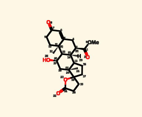 COC(=O)[C@@H]1CC2=CC(=O)CC[C@]2(C)C2[C@@H]1C1CCC3(CCC(=O)O3)[C@@]1(C)C[C@H]2O